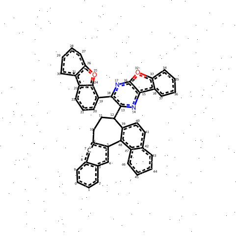 c1ccc2cc3c(cc2c1)CCC(c1nc2c(nc1-c1cccc4c1oc1ccccc14)oc1ccccc12)c1ccc2ccccc2c1-3